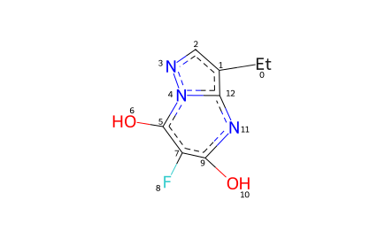 CCc1cnn2c(O)c(F)c(O)nc12